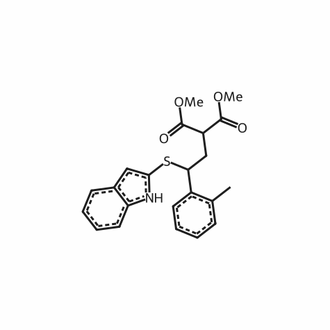 COC(=O)C(CC(Sc1cc2ccccc2[nH]1)c1ccccc1C)C(=O)OC